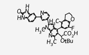 Cc1nc2c(cc(-c3ccnc(-c4ccc5[nH]c(=O)[nH]c5c4)c3)n2C)c(-c2cc(F)c3c(c2C)CCCO3)c1[C@H](OC(C)(C)C)C(=O)O